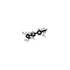 CC1(C)CCC(C)(C)C1c1ccc(-c2ccc(C(C)(C)C(F)(F)F)cc2)nc1